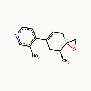 C[C@H]1CC(c2ccncc2[N+](=O)[O-])=CC[C@@]12CO2